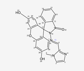 Cn1ccnc1/C=N/N1C(=O)c2ccccc2C12c1ccc(O)cc1Oc1cc(O)ccc12